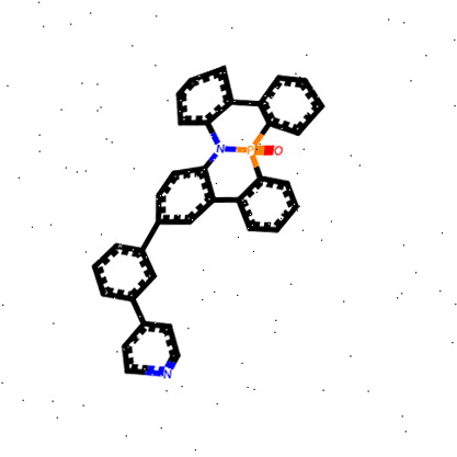 O=P12c3ccccc3-c3ccccc3N1c1ccc(-c3cccc(-c4ccncc4)c3)cc1-c1ccccc12